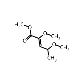 COC(=O)C(=CC(C)OC)OC